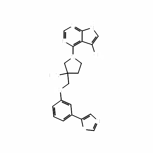 Cc1c[nH]c2ncnc(N3CCC(N)(CNc4cccc(-c5cnco5)c4)C3)c12